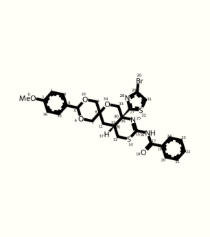 COc1ccc(C2OCC3(CO2)C[C@H]2CSC(NC(=O)c4ccccc4)=N[C@@]2(c2nc(Br)cs2)CO3)cc1